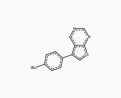 CC(C)(C)c1ccc(-c2csc3ncn[c]c23)cc1